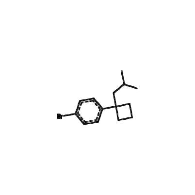 C[C](C)CC1(c2ccc(Br)cc2)CCC1